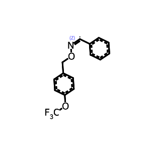 FC(F)(F)Oc1ccc(CO/N=[C]\c2ccccc2)cc1